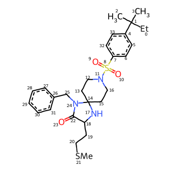 CCC(C)(C)c1ccc(S(=O)(=O)N2CCC3(CC2)NC(CCSC)C(=O)N3Cc2ccccc2)cc1